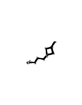 CC1CN(CCCCl)C1